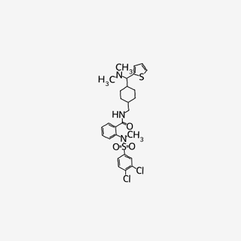 CN(C)C(c1cccs1)C1CCC(CNC(=O)c2ccccc2N(C)S(=O)(=O)c2ccc(Cl)c(Cl)c2)CC1